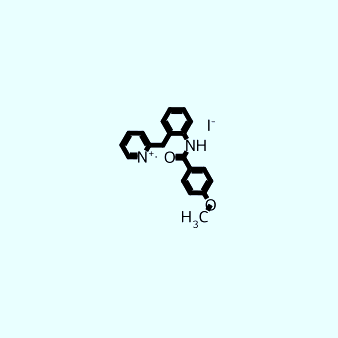 COc1ccc(C(=O)Nc2ccccc2CC2=CC=CC=[N+]2)cc1.[I-]